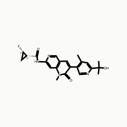 Cc1cc(C(C)(C)O)ncc1-c1cc2cnc(NC(=O)[C@@H]3C[C@@H]3F)cc2n(C)c1=O